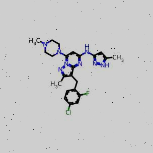 Cc1cc(Nc2cc(N3CCN(C)CC3)n3nc(C)c(Cc4ccc(Cl)cc4F)c3n2)n[nH]1